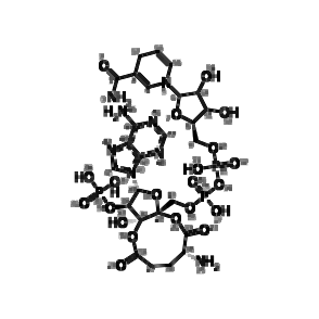 NC(=O)C1=CN(C2O[C@H](COP(=O)(O)OP(=O)(O)OC[C@@]34OC(=O)[C@H](N)CCC(=O)O[C@@]3(O)[C@@H](OP(=O)(O)O)[C@H](n3cnc5c(N)ncnc53)O4)C(O)C2O)C=CC1